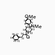 CNC1(c2ccc(OC)cc2)CCN(C(=O)CCc2ccccc2)CC1